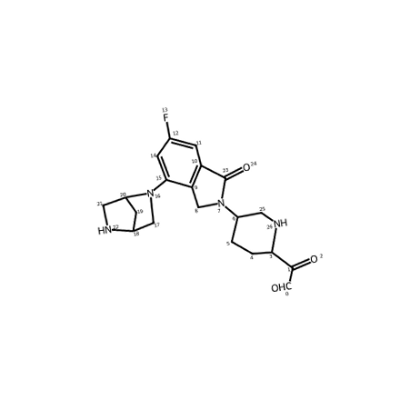 O=CC(=O)C1CCC(N2Cc3c(cc(F)cc3N3CC4CC3CN4)C2=O)CN1